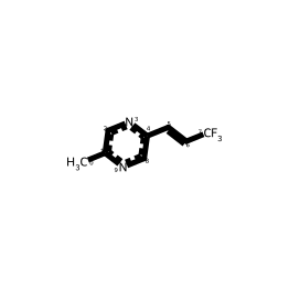 Cc1cnc(/C=C/C(F)(F)F)cn1